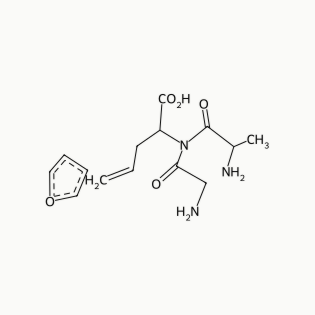 C=CCC(C(=O)O)N(C(=O)CN)C(=O)C(C)N.c1ccoc1